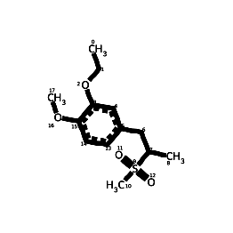 CCOc1cc(CC(C)S(C)(=O)=O)ccc1OC